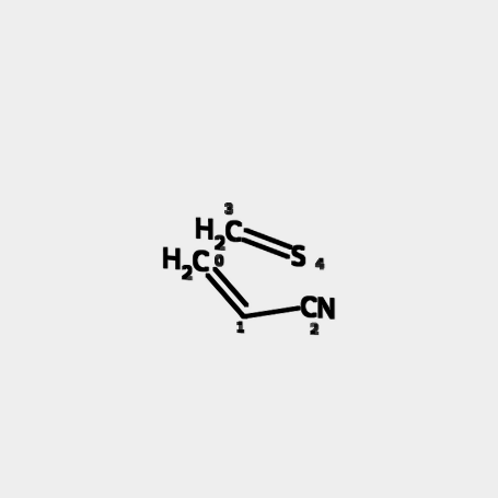 C=CC#N.C=S